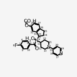 C[N+](C(=O)c1ccc(F)cc1)(C1CCN(c2ccncc2)CC1)[C@@H]1CCc2ccc(OC(=O)O)cc21